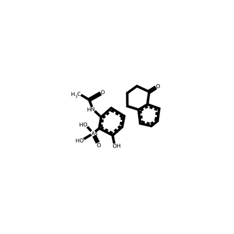 CC(=O)Nc1cccc(O)c1[As](=O)(O)O.O=C1CCCc2ccccc21